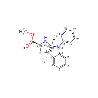 COC(=O)[C@@H]1C[C@@H]2c3ccccc3N(c3ccccc3)[C@@H]2N1